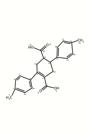 Cc1ccc(C2=C(C(=O)O)CC(c3ccc(C)cc3)C(C(=O)O)C2)cc1